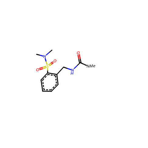 CNC(=O)NCc1ccccc1S(=O)(=O)N(C)C